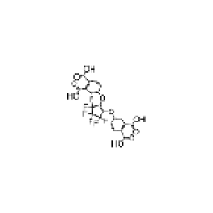 O=C(O)c1ccc(OC2=C(Oc3ccc(C(=O)O)c(C(=O)O)c3)C(F)(F)C(F)(F)C2(F)F)cc1C(=O)O